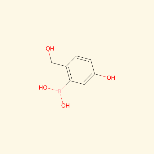 OCc1ccc(O)cc1B(O)O